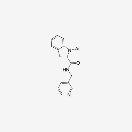 CC(=O)N1c2ccccc2CC1C(=O)NCc1cccnc1